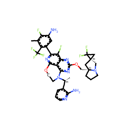 Cc1c(F)c(N)cc(-c2nc3c4c(nc(OC[C@@]56CCCN5C[C@]5(CC5(F)F)C6)nc4c2F)N([C@H](C)c2cccnc2N)CCO3)c1C(F)(F)F